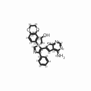 Nc1ncnc2sc(C3=C(c4ccccc4)N=C[N+]3(CCO)c3ccc4c(c3)OCCO4)cc12